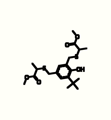 COC(=O)C(C)SCc1cc(CSC(C)C(=O)OC)c(O)c(C(C)(C)C)c1